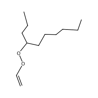 C=COOC(CCC)CCCCCC